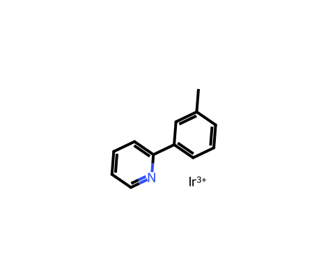 Cc1cccc(-c2ccccn2)c1.[Ir+3]